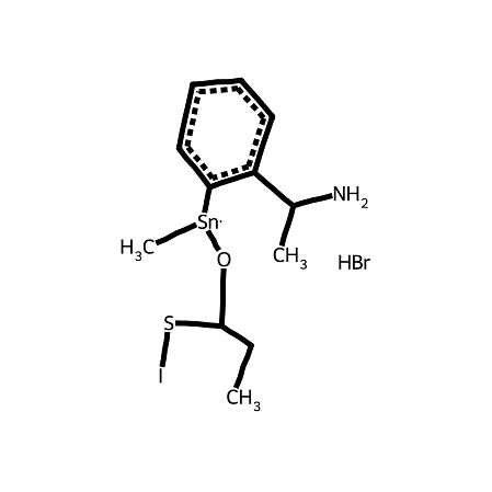 Br.CCC([O][Sn]([CH3])[c]1ccccc1C(C)N)SI